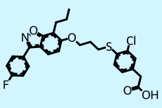 CCCc1c(OCCCSc2ccc(CC(=O)O)cc2Cl)ccc2c(-c3ccc(F)cc3)noc12